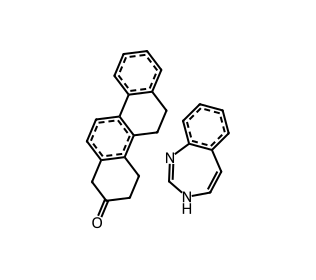 C1=Cc2ccccc2N=CN1.O=C1CCc2c(ccc3c2CCc2ccccc2-3)C1